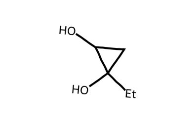 CCC1(O)CC1O